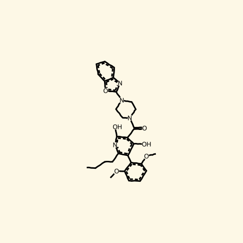 CCCCc1nc(O)c(C(=O)N2CCN(c3nc4ccccc4o3)CC2)c(O)c1-c1c(OC)cccc1OC